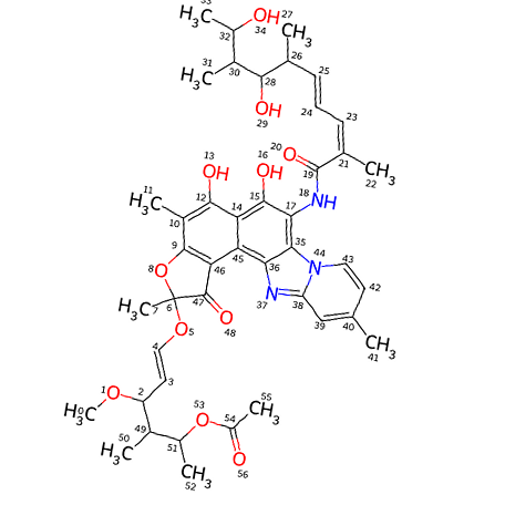 COC(/C=C/OC1(C)Oc2c(C)c(O)c3c(O)c(NC(=O)/C(C)=C\C=C\C(C)C(O)C(C)C(C)O)c4c(nc5cc(C)ccn54)c3c2C1=O)C(C)C(C)OC(C)=O